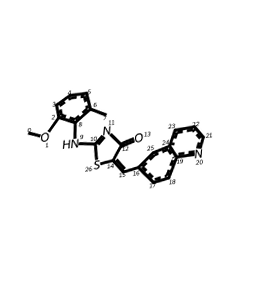 COc1cccc(C)c1NC1=NC(=O)C(=Cc2ccc3ncccc3c2)S1